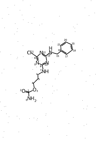 NC(=O)OCCCNc1nc(Cl)nc(NCc2ccccc2)n1